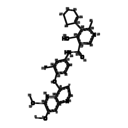 COc1cc2nccc(Oc3ccc(NC(=O)c4cnc(C)c(C5=CCCCC5)c4O)cc3F)c2nc1OC